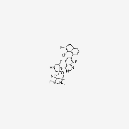 CN1C[C@H](F)C[C@H]1COC1(CC#N)CNCC(F)N1c1ncnc2c(F)c(-c3cccc4ccc(F)c(Cl)c34)ccc12